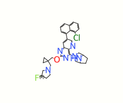 F[C@@H]1CCN(CC2(COc3nc(N4CC5CCC(C4)N5)c4ncc(-c5cccc6cccc(Cl)c56)cc4n3)CC2)C1